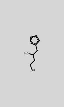 OCCC(O)Cc1cccs1